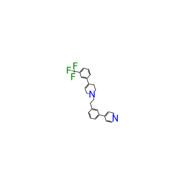 FC(F)(F)c1cccc(C2=CCN(CCc3cccc(-c4ccncc4)c3)CC2)c1